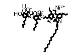 CCCCCCCCCCCCCCC#CC(=Nc1cc(CCC)cc(CCC)c1)C(CCCC)=Nc1cc(CCC)cc(CCC)c1.CCCCCc1cc(O)c(O)c(C(=O)[O-])c1C.CCCCCc1cc(O)c(O)c(C(=O)[O-])c1C.[Ni+2]